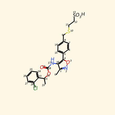 Cc1noc(-c2ccc(CSCCS(=O)(=O)O)cc2)c1NC(=O)OC(C)c1ccccc1Cl